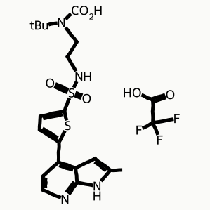 Cc1cc2c(-c3ccc(S(=O)(=O)NCCN(C(=O)O)C(C)(C)C)s3)ccnc2[nH]1.O=C(O)C(F)(F)F